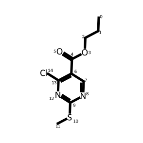 CCCOC(=O)c1cnc(SC)nc1Cl